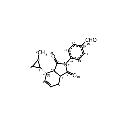 CC1CC1[C@H]1C=CCC2C(=O)N(c3ccc(C=O)cc3)C(=O)C21